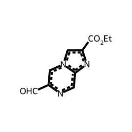 CCOC(=O)c1cn2cc(C=O)ncc2n1